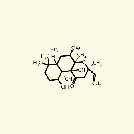 C=C[C@@]1(C)CC(=O)[C@]2(O)[C@@]3(C)[C@@H](O)CCC(C)(C)[C@@H]3[C@H](O)[C@@H](OC(C)=O)[C@@]2(C)O1